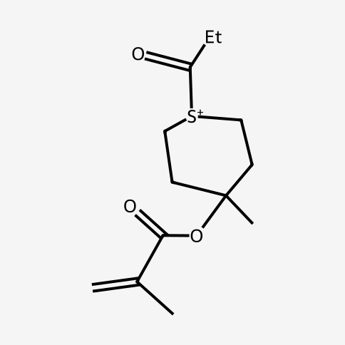 C=C(C)C(=O)OC1(C)CC[S+](C(=O)CC)CC1